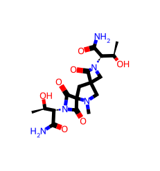 C[C@@H](O)[C@@H](C(N)=O)N1CC2(CN(C)C3(C2)C(=O)N([C@H](C(N)=O)[C@@H](C)O)C3=O)C1=O